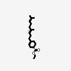 CCOC(=O)[C@@H]1CC=C(CC/C=C(\C)CCC=C(C)C)CC1